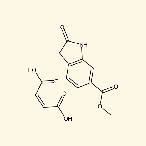 COC(=O)c1ccc2c(c1)NC(=O)C2.O=C(O)/C=C\C(=O)O